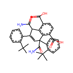 CC(C)(C)c1ccccc1C1=CC(C(N)=O)(c2ccccc2C(C)(C)C)c2c(C(=O)O)ccc(C(=O)O)c2C1C(N)=O